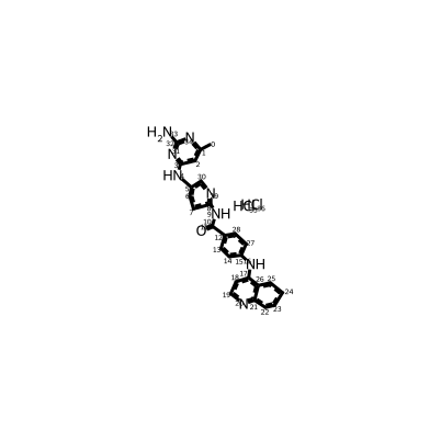 Cc1cc(Nc2ccc(NC(=O)c3ccc(Nc4ccnc5ccccc45)cc3)nc2)nc(N)n1.Cl.Cl